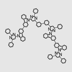 c1ccc(-c2cc(-n3c4ccccc4c4cc(-c5ccc6c(c5)c5ccccc5n6-c5cc(-c6cccc(-c7cccc(-c8cc(-c9ccccc9)nc(-n9c%10ccccc%10c%10cc(-c%11ccc%12c(c%11)c%11ccccc%11n%12-c%11nc(-c%12ccccc%12)cc(-c%12ccccc%12)n%11)ccc%109)n8)c7)c6)nc(-c6ccccc6)n5)ccc43)nc(-c3ccccc3)n2)cc1